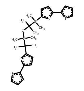 CC(C)(c1ccc(-c2cccs2)s1)[Si](C)(C)OC(C)(C)[Si](C)(C)c1ccc(-c2cccs2)s1